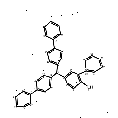 Cc1ccc([C](c2ccc(-c3ccccc3)cc2)c2ccc(-c3ccccc3)cc2)cc1-c1ccccc1